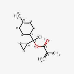 C=C(C)C(=O)OC(C)(C1CC=C(C)CC1)C1CC1